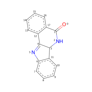 O=C1NC2C(=Nc3ccccc32)c2ccccc21